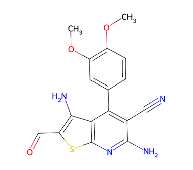 COc1ccc(-c2c(C#N)c(N)nc3sc(C=O)c(N)c23)cc1OC